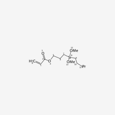 C=CC(=O)OCCC[Si](CCC(C)C)(OC)OC